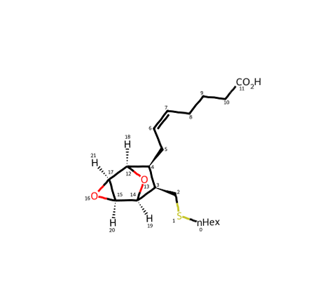 CCCCCCSC[C@@H]1[C@H](C/C=C\CCCC(=O)O)[C@H]2O[C@@H]1[C@H]1O[C@H]12